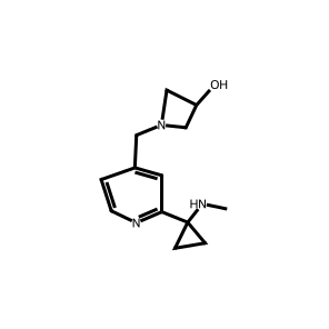 CNC1(c2cc(CN3CC(O)C3)ccn2)CC1